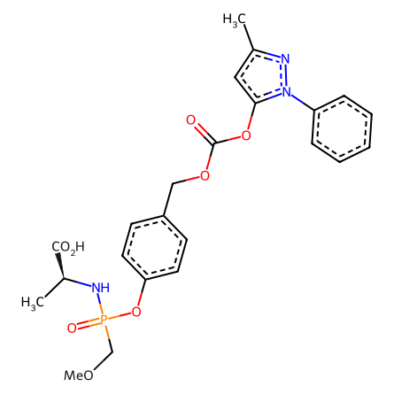 COCP(=O)(N[C@@H](C)C(=O)O)Oc1ccc(COC(=O)Oc2cc(C)nn2-c2ccccc2)cc1